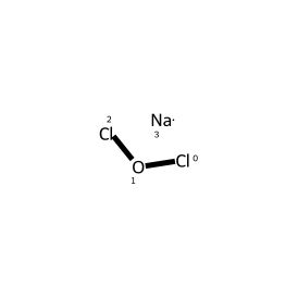 ClOCl.[Na]